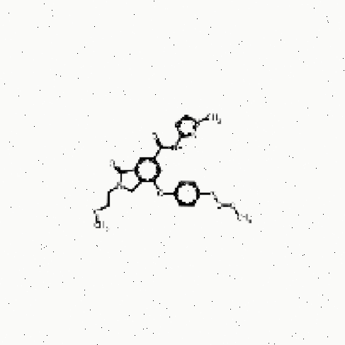 COCCN1Cc2c(Oc3ccc(SOOC)cc3)cc(C(=O)Nc3ccn(C)n3)cc2C1=O